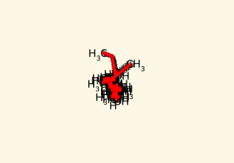 CCCCCCCC/C=C\CCCCCCCCCCCCCC(=O)N[C@@H](CO[C@@H]1OC(CO)[C@@H](O[C@@H]2OC(CO)[C@H](O[C@@H]3OC(CO)[C@H](O)[C@H](O)C3NC(C)=O)[C@H](O[C@H]3OC(CO)[C@H](O)[C@H](O[C@@H]4OC(CO)[C@@H](O[C@@H]5OC(CO)[C@H](O)[C@H](O[C@]6(C(=O)O)CC(O)[C@@H](NC(C)=O)C([C@H](O)[C@H](O)CO)O6)C5O)[C@H](O[C@H]5OC(C)[C@@H](O)C(O)[C@@H]5O)C4NC(C)=O)C3O)C2O)[C@H](O)C1O)[C@H](O)/C=C/CCCCCCCCCCCCC